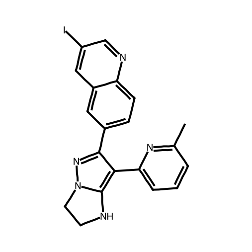 Cc1cccc(-c2c(-c3ccc4ncc(I)cc4c3)nn3c2NCC3)n1